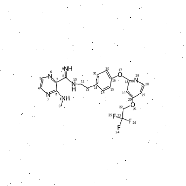 CNc1nccnc1C(=N)NCCc1ccc(Oc2cc(OCC(F)(F)F)ccn2)cc1